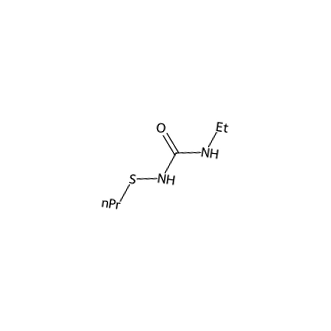 CCCSNC(=O)NCC